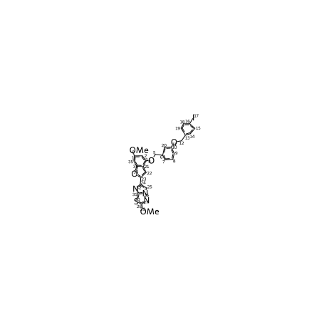 COc1cc(OCc2cccc(OCc3ccc(I)cc3)c2)c2cc(-c3cn4nc(OC)sc4n3)oc2c1